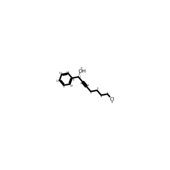 O[C@H](C#CCCCCCl)c1ccccc1